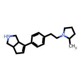 CC1CCCN1CCc1ccc(C2=CCC3CNCC23)cc1